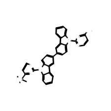 CC(C)(C)c1ccnc(-n2c3ccccc3c3cc(-c4ccc5c(c4)c4ccccc4n5-c4nccc([Si](C)(C)C)n4)ccc32)n1